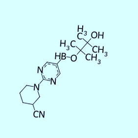 CC(C)(O)C(C)(C)OBc1cnc(N2CCCC(C#N)C2)nc1